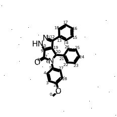 COc1ccc(N2C(=O)c3[nH]nc(-c4ccccc4)c3C2c2ccccc2)cc1